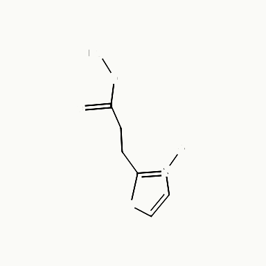 COC(=O)CCc1scc[n+]1[O-]